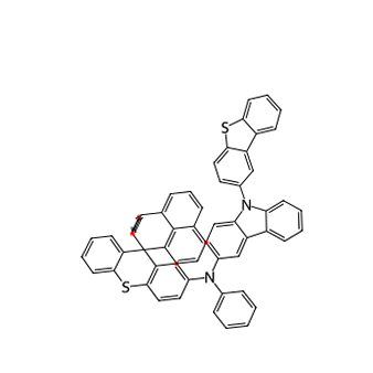 c1ccc(N(c2ccc3c(c2)C2(c4ccccc4S3)c3ccccc3-c3cccc4cccc2c34)c2ccc3c(c2)c2ccccc2n3-c2ccc3sc4ccccc4c3c2)cc1